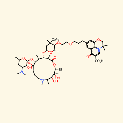 CC[C@H]1OC(=O)[C@H](C)[C@@H](OC2C[C@@](C)(OC)[C@@H](OCCOCCCc3cc4c5c(c3)c(=O)c(C(=O)O)cn5C(C)(C)CO4)[C@H](C)O2)[C@H](C)[C@@H](O[C@@H]2O[C@H](C)C[C@H](N(C)C)[C@H]2O)[C@](C)(O)C[C@@H](C)CN(C)[C@H](C)[C@H](O)[C@]1(C)O